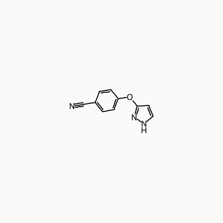 N#Cc1ccc(Oc2cc[nH]n2)cc1